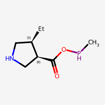 CC[C@@H]1CNC[C@@H]1C(=O)OPC